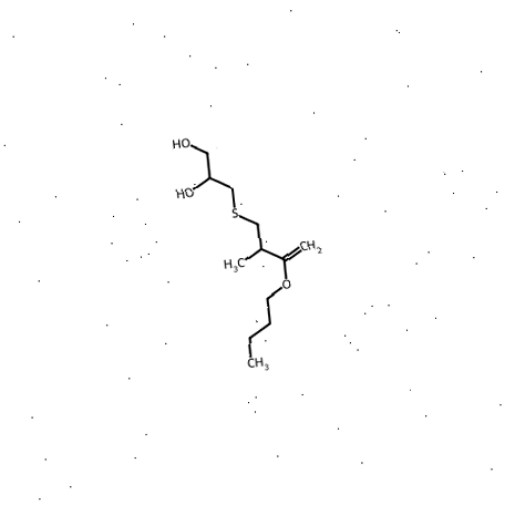 C=C(OCCCC)C(C)CSCC(O)CO